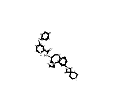 O=C(N[C@H]1COc2ccc(N3CC4(CCOCC4)C3)cc2-n2ccnc21)c1cc(Oc2ccccc2)ccn1